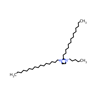 CCCCCCCCCCCCCCCCn1cc[n+](CCCCC)c1CCCCCCCCCCCCCC